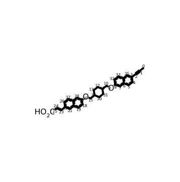 CC#Cc1ccc2cc(OCC3CCC(COc4ccc5cc(/C=C/C(=O)O)ccc5c4)CC3)ccc2c1